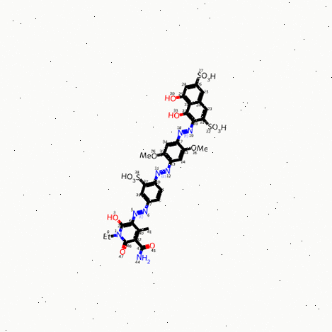 CCn1c(O)c(/N=N/c2ccc(/N=N/c3cc(OC)c(/N=N/c4c(S(=O)(=O)O)cc5cc(S(=O)(=O)O)cc(O)c5c4O)cc3OC)c(S(=O)(=O)O)c2)c(C)c(C(N)=O)c1=O